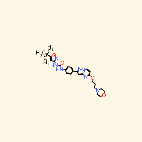 CC(C)(C)c1cc(NC(=O)Nc2ccc(-c3cc4nc(OCCCN5CCOCC5)ccn4n3)cc2)no1